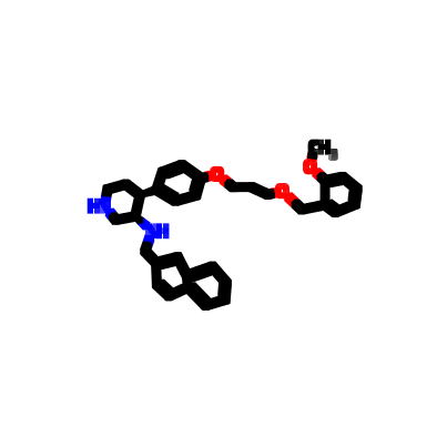 COc1ccccc1COCCCOc1ccc([C@@H]2CCNC[C@@H]2NCc2ccc3ccccc3c2)cc1